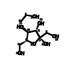 CCO.OC[C@H]1O[C@](O)(CO)[C@@H](O)[C@@H]1O